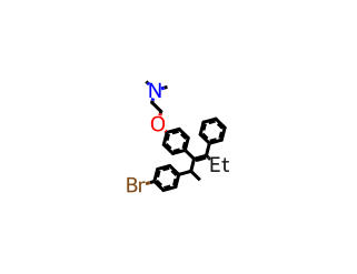 CC/C(=C(/c1ccc(OCCN(C)C)cc1)C(C)c1ccc(Br)cc1)c1ccccc1